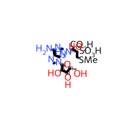 CSCC[C@H](N)C(=O)O.Nc1ncnc2c1ncn2[C@@H]1O[C@H](CO)[C@@H](O)[C@H]1O.O=S(=O)(O)O